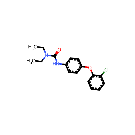 CCN(CC)C(=O)Nc1ccc(Oc2ccccc2Cl)cc1